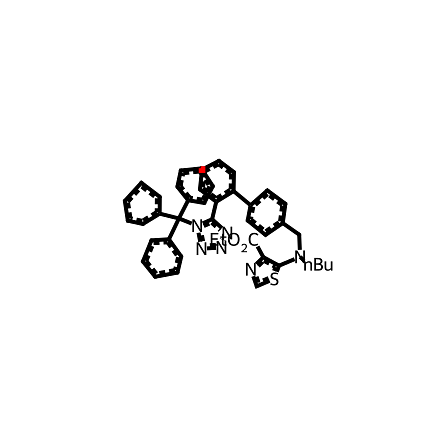 CCCCN(Cc1ccc(-c2ccccc2-c2nnnn2C(c2ccccc2)(c2ccccc2)c2ccccc2)cc1)c1scnc1C(=O)OCC